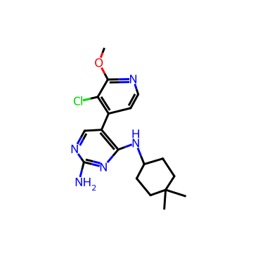 COc1nccc(-c2cnc(N)nc2NC2CCC(C)(C)CC2)c1Cl